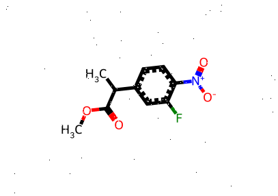 COC(=O)C(C)c1ccc([N+](=O)[O-])c(F)c1